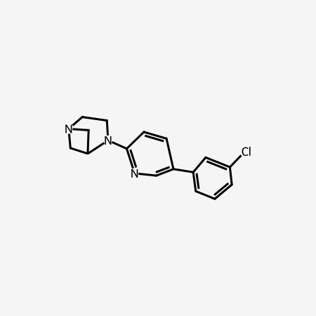 Clc1cccc(-c2ccc(N3CCN4CC3C4)nc2)c1